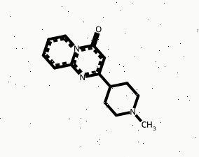 CN1CCC(c2cc(=O)n3ccccc3n2)CC1